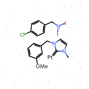 COc1cccc(Cn2ccn(C)[c]2=[Pt])c1.Clc1ccc(CN(I)I)cc1